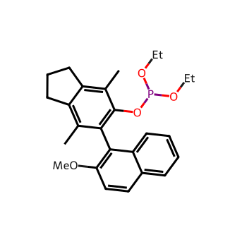 CCOP(OCC)Oc1c(C)c2c(c(C)c1-c1c(OC)ccc3ccccc13)CCC2